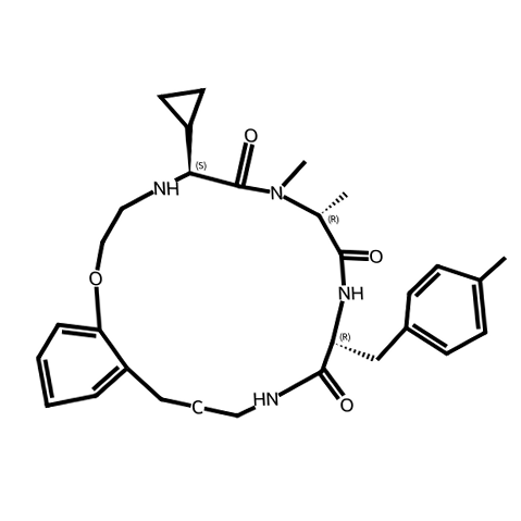 Cc1ccc(C[C@H]2NC(=O)[C@@H](C)N(C)C(=O)[C@H](C3CC3)NCCOc3ccccc3CCCNC2=O)cc1